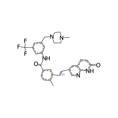 Cc1ccc(C(=O)Nc2cc(CN3CCN(C)CC3)cc(C(F)(F)F)c2)cc1/C=C/c1cnc2[nH]c(=O)ccc2c1